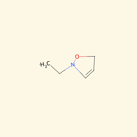 [CH2]CN1C=CCO1